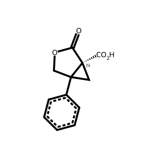 O=C(O)[C@]12CC1(c1ccccc1)COC2=O